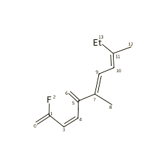 C=C(F)/C=C\C(=C)/C(C)=C/C=C(/C)CC